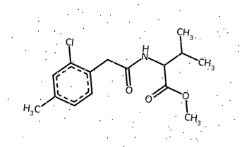 COC(=O)C(NC(=O)Cc1ccc(C)cc1Cl)C(C)C